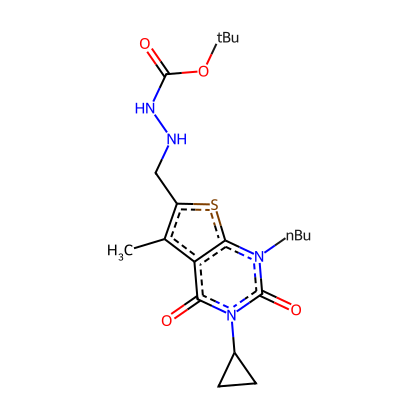 CCCCn1c(=O)n(C2CC2)c(=O)c2c(C)c(CNNC(=O)OC(C)(C)C)sc21